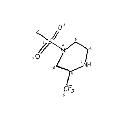 CS(=O)(=O)N1CCNC(C(F)(F)F)C1